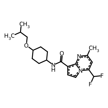 Cc1cc(C(F)F)n2ccc(C(=O)NC3CCC(OCC(C)C)CC3)c2n1